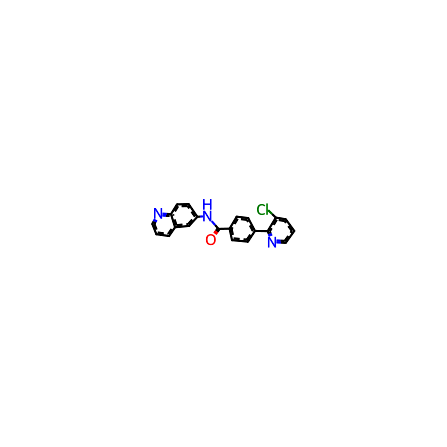 O=C(Nc1ccc2ncccc2c1)c1ccc(-c2ncccc2Cl)cc1